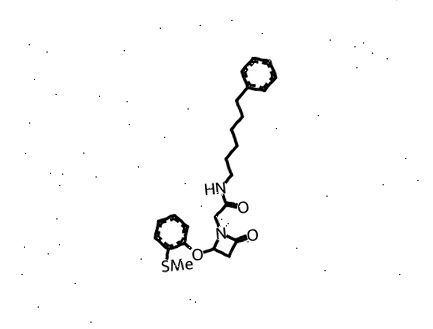 CSc1ccccc1OC1CC(=O)N1CC(=O)NCCCCCCc1ccccc1